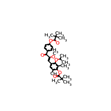 COC(=Cc1cc(C)c(OC(=O)C(C)(C)C)c(C)c1OC(C)C)C(=O)c1ccc(OC(=O)C(C)(C)C)cc1